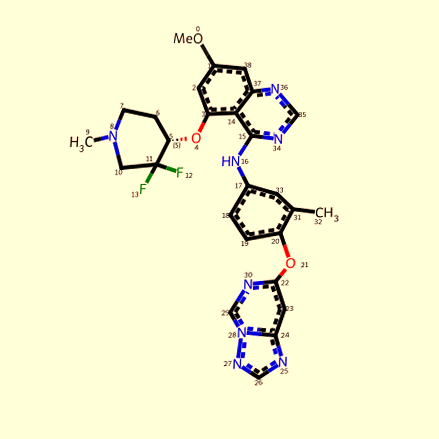 COc1cc(O[C@H]2CCN(C)CC2(F)F)c2c(Nc3ccc(Oc4cc5ncnn5cn4)c(C)c3)ncnc2c1